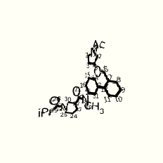 CC(=O)N1CCC(OCC2CCCCC2C2CCCC(N(C)C(=O)C3CCCN(C(=O)C(C)C)C3)C2)C1